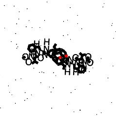 CCc1cc2c(-c3ccc4[nH]c([C@@H]5C[C@@H]6CCCC[C@@H]6N5C(=O)[C@@H](NC(=O)OC)C(C)C)nc4c3)cc1CCc1cc(CC)c(cc1-c1ccc3[nH]c([C@@H]4C[C@@H]5CCCC[C@@H]5N4C(=O)[C@@H](NC(=O)OC)C(C)C)nc3c1)CC2